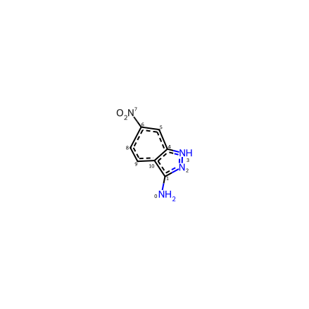 Nc1n[nH]c2cc([N+](=O)[O-])ccc12